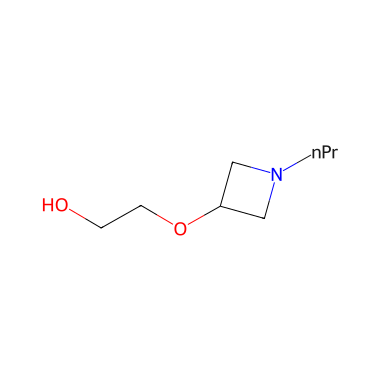 CCCN1CC(OCCO)C1